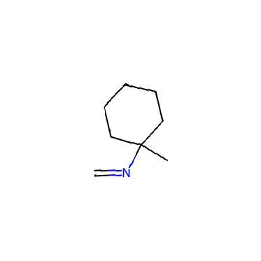 C=NC1(C)CCCCC1